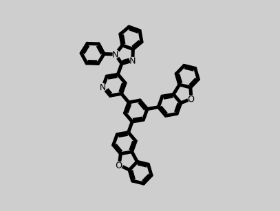 c1ccc(-n2c(-c3cncc(-c4cc(-c5ccc6oc7ccccc7c6c5)cc(-c5ccc6oc7ccccc7c6c5)c4)c3)nc3ccccc32)cc1